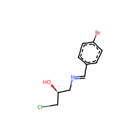 O[C@H](CCl)CN=Cc1ccc(Br)cc1